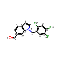 O=Cc1ccc2ccn(Cc3cc(F)c(F)cc3F)c2c1